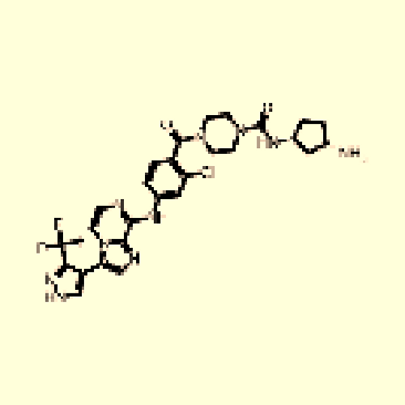 N[C@H]1CC[C@H](NC(=O)N2CCN(C(=O)c3ccc(Nc4nccn5c(-c6c[nH]nc6C(F)(F)F)cnc45)cc3Cl)CC2)C1